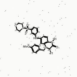 CC[C@@H]1C(=O)N(CC)c2ccc(Nc3cccc(S(=O)(=O)N4CCOCC4)c3)cc2N1Cc1ccc(OC)cc1